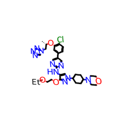 CCOCCOc1nn(C2CCC(N3CCOCC3)CC2)cc1Nc1ncc(-c2ccc(Cl)c(O[C@@H](C)Cn3cnnn3)c2)cn1